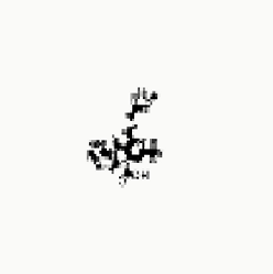 CC(OC(=O)O)N(C(=S)c1ccc(C(F)(F)F)nc1CSCc1nnn(C)n1)c1nnnn1C